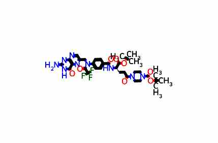 CC(C)(C)OC(=O)[C@H](CCC(=O)N1CCN(C(=O)OC(C)(C)C)CC1)NC(=O)c1ccc(N(Cc2cnc3nc(N)[nH]c(=O)c3n2)C(=O)C(F)(F)F)cc1